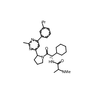 CNC(C)C(=O)N[C@H](C(=O)N1CCCC1c1cc(-c2cccc(C(C)C)c2)nc(C)n1)C1CCCCC1